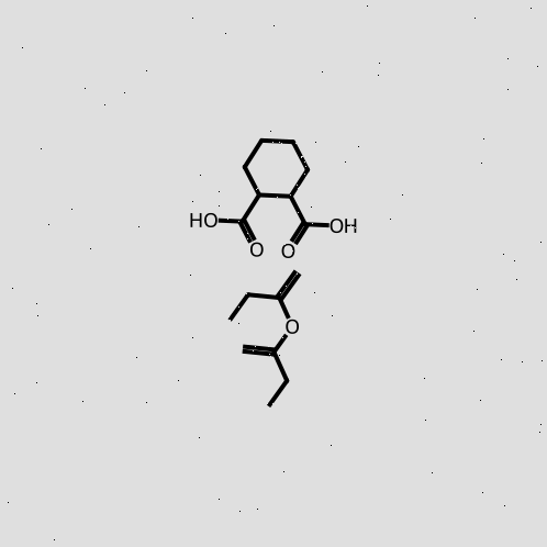 C=C(CC)OC(=C)CC.O=C(O)C1CCCCC1C(=O)O